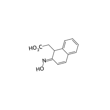 O=C(O)CC1C(=NO)C=Cc2ccccc21